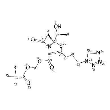 C[C@H](O)[C@@]12CC(=O)N1C(C(=O)OCOC(=O)C(C)(C)C)=C(CCCn1cnnn1)S2